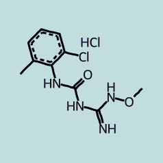 CONC(=N)NC(=O)Nc1c(C)cccc1Cl.Cl